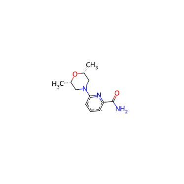 C[C@@H]1CN(c2cc[c]c(C(N)=O)n2)C[C@H](C)O1